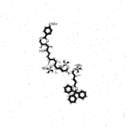 COc1ccc(C2OC[C@H](C)[C@@H]([C@@H](C)[C@H](O)CC[C@H](C)C[C@H](C)[C@@H](O[Si](C)(C)C(C)(C)C)[C@@H](C)C=C[C@H](C[C@H](O[Si](C)(C)C(C)(C)C)[C@H](C)C=CCOC(c3ccccc3)(c3ccccc3)c3ccccc3)O[Si](C)(C)C(C)(C)C)O2)cc1